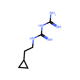 N=C(N)NC(=N)NCCC1CC1